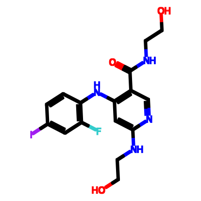 O=C(NCCO)c1cnc(NCCO)cc1Nc1ccc(I)cc1F